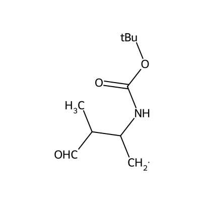 [CH2]C(NC(=O)OC(C)(C)C)C(C)C=O